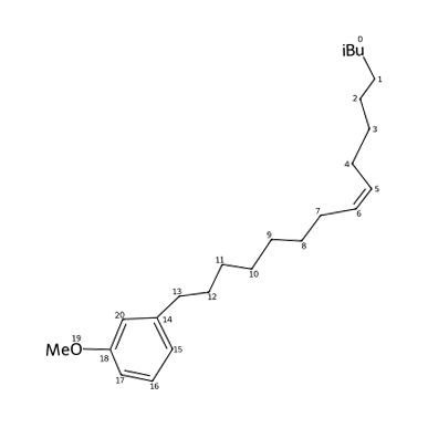 CCC(C)CCCC/C=C\CCCCCCCc1cccc(OC)c1